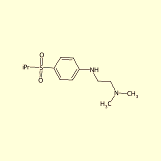 CC(C)S(=O)(=O)c1ccc(NCCN(C)C)cc1